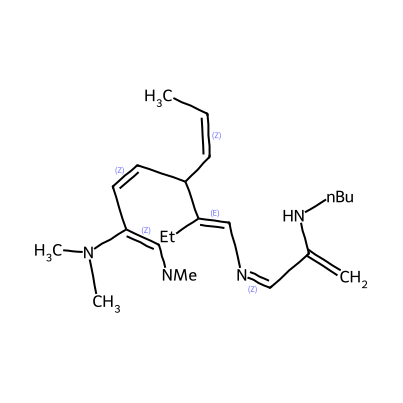 C=C(/C=N\C=C(/CC)C(/C=C\C)/C=C\C(=C\NC)N(C)C)NCCCC